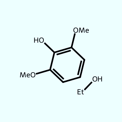 CCO.COc1cccc(OC)c1O